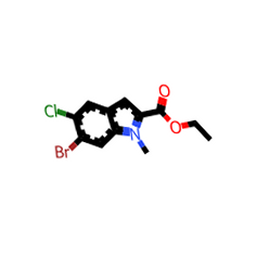 CCOC(=O)c1cc2cc(Cl)c(Br)cc2n1C